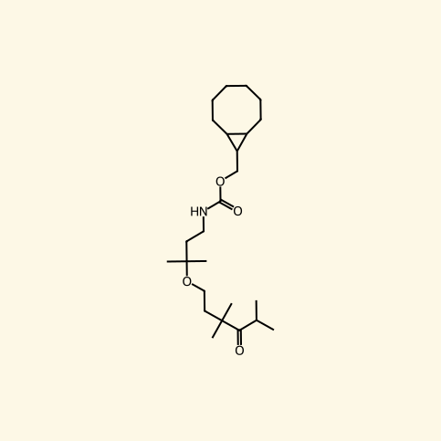 CC(C)C(=O)C(C)(C)CCOC(C)(C)CCNC(=O)OCC1C2CCCCCCC21